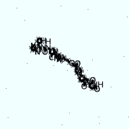 Cc1cc(NC(=O)Nc2cnc3ccnn3c2C2CCCC2)cnc1-c1cn(CCCCOCC(=O)N2CCN(c3ccc4c(c3)CN(C3CCC(=O)NC3=O)C4=O)CC2)nn1